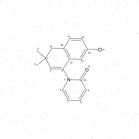 CC1(C)C=C(n2ccccc2=O)c2cc(Cl)ccc2C1